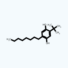 CCCCCCCCc1cc(O)c(C(C)(C)C)cc1O